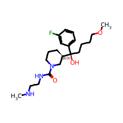 CNCCNC(=O)N1CCC[C@@H]([C@@](O)(CCCCOC)c2cccc(F)c2)C1